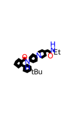 CCNC(=O)CC1CCN(c2ccc(NC(=O)c3ccccc3-c3ccc(C(C)(C)C)cc3)cc2)CC1